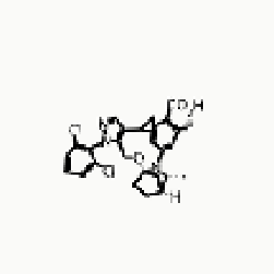 C[C@@H]1[C@H]2CC[C@](OCc3c(C4CC4)cnn3-c3c(Cl)cccc3Cl)(C2)N1c1ccc(C(=O)O)c(F)c1